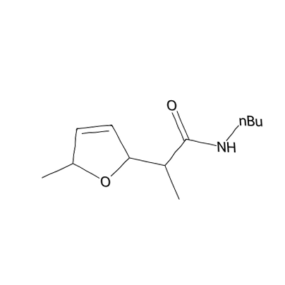 CCCCNC(=O)C(C)C1C=CC(C)O1